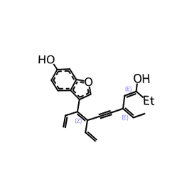 C=C/C(C#CC(=C/C)/C=C(/O)CC)=C(\C=C)c1coc2cc(O)ccc12